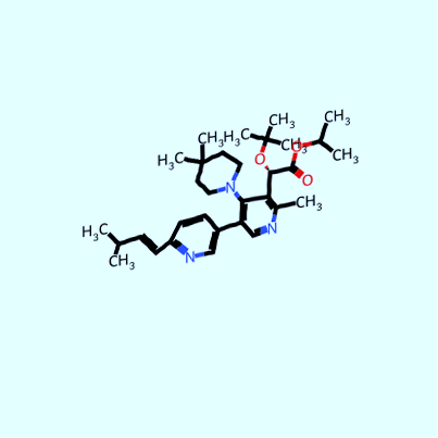 Cc1ncc(-c2ccc(C=CC(C)C)nc2)c(N2CCC(C)(C)CC2)c1[C@H](OC(C)(C)C)C(=O)OC(C)C